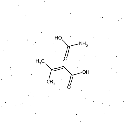 CC(C)=CC(=O)O.NC(=O)O